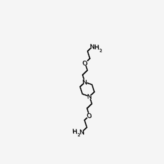 NCCOCCN1CCN(CCOCCN)CC1